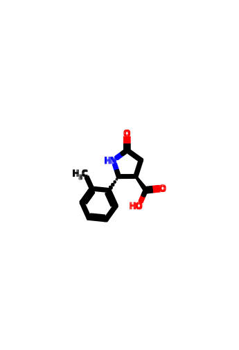 Cc1ccccc1[C@@H]1NC(=O)C[C@H]1C(=O)O